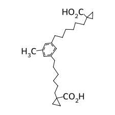 Cc1cc(CCCCCCC2(C(=O)O)CC2)cc(CCCCCCC2(C(=O)O)CC2)c1